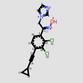 O/N=C(\Cn1ccnc1)c1ccc(C#CC2CC2)c(Cl)c1Cl